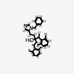 Cc1cccc(C)c1CCC(O)(CCc1cncn1Cc1ccccc1)C(C)c1c(C)cccc1C